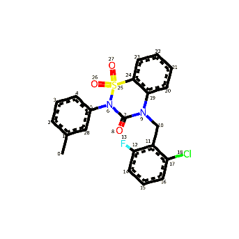 Cc1cccc(N2C(=O)N(Cc3c(F)cccc3Cl)c3ccccc3S2(=O)=O)c1